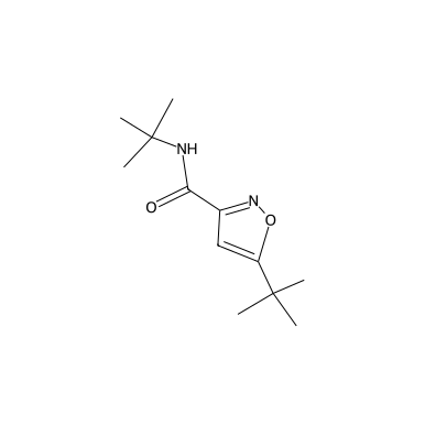 CC(C)(C)NC(=O)c1cc(C(C)(C)C)on1